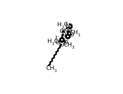 CCCCCCCCCCCCCCOc1c(OC)cc(COC(=O)N(Cc2cccc[n+]2C)C(=O)c2ccccc2OC)cc1OC.[I-]